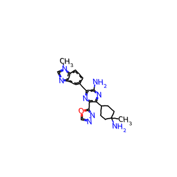 Cn1cnc2cc(-c3nc(-c4nnco4)c(C4CCC(C)(N)CC4)nc3N)ccc21